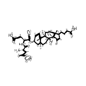 C[C@]12CC[C@H](OC(=O)[C@H](CC(=O)O)NC(=O)[C@@H](N)CC(=O)O)C[C@H]1CC[C@@H]1[C@@H]2CC[C@]2(C)C(CCCC(=O)O)CC[C@@H]12